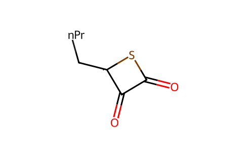 CCCC[C]1SC(=O)C1=O